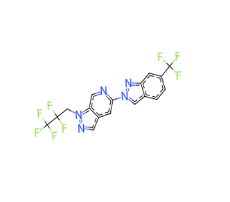 FC(F)(F)c1ccc2cn(-c3cc4cnn(CC(F)(F)C(F)(F)F)c4cn3)nc2c1